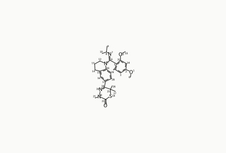 COc1ccc(/C(=N/C(C)C)N2CCCc3cc(C4=NN(C)C(=O)SC4(C)C)ccc32)c(OC)c1